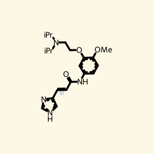 COc1ccc(NC(=O)/C=C/c2c[nH]cn2)cc1OCCN(C(C)C)C(C)C